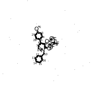 COc1ccc(-c2cnn(Cc3ccccc3)c(=O)c2OS(=O)(=O)C(F)(F)F)cc1